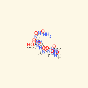 C/C=C/C[C@@H](C)[C@H](O)C(C(=O)N[C@H](CC)C(=O)N(C)CC(=O)N(C)CC(N)=O)N(C)C(=O)[C@@H](C(C)C)N(C)C(=O)[C@@H](CC(C)C)N(C)C(=O)[C@@H](CC(C)C)N(C)C(=O)[C@H](C)NC(=O)C(CC(C)C)NC(=O)[C@H](C)N(C)C(=O)[C@H](C)C(C)(C)C